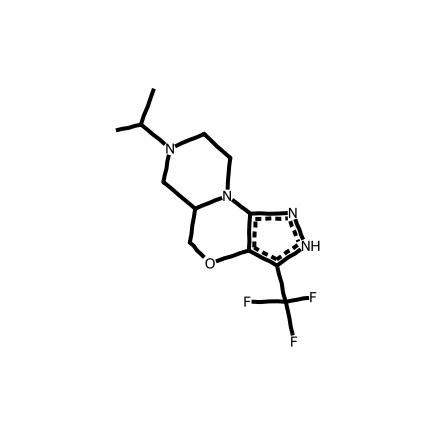 CC(C)N1CCN2c3n[nH]c(C(F)(F)F)c3OCC2C1